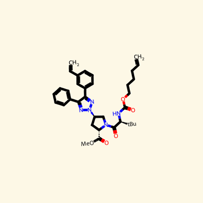 C=CCCCCOC(=O)N[C@H](C(=O)N1C[C@H](n2nc(-c3ccccc3)c(-c3cccc(C=C)c3)n2)C[C@H]1C(=O)OC)C(C)(C)C